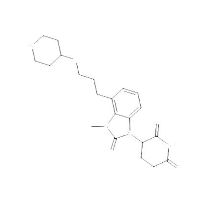 Cn1c(=O)n(C2CCC(=O)NC2=O)c2cccc(CCCOC3CCNCC3)c21